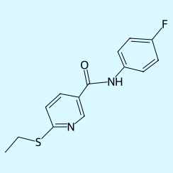 CCSc1ccc(C(=O)Nc2ccc(F)cc2)cn1